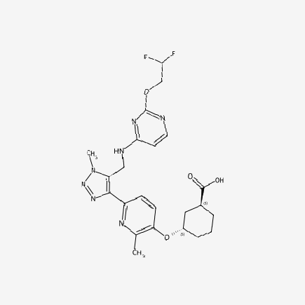 Cc1nc(-c2nnn(C)c2CNc2ccnc(OCC(F)F)n2)ccc1O[C@H]1CCC[C@H](C(=O)O)C1